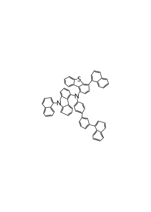 c1cc(-c2ccc(N(c3ccc(-c4cccc5ccccc45)c4sc5ccccc5c34)c3cccc4c3c3ccccc3n4-c3cccc4ccccc34)cc2)cc(-c2cccc3ccccc23)c1